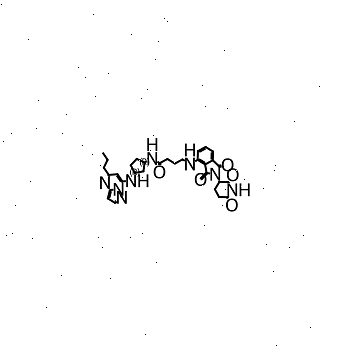 CCCc1cc(N[C@@H]2CC[C@@H](NC(=O)CCCNc3cccc4c3C(=O)N(C3CCC(=O)NC3=O)C4=O)C2)n2nccc2n1